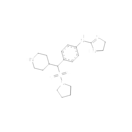 O=S(=O)(C(c1ccc(NC2=NCCN2)cc1)C1CCNCC1)N1CCCC1